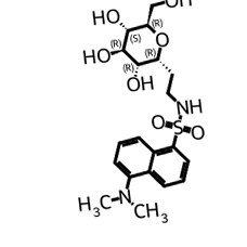 CN(C)c1cccc2c(S(=O)(=O)NCC[C@H]3O[C@H](CO)[C@@H](O)[C@H](O)[C@H]3O)cccc12